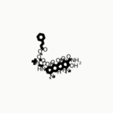 CN(C)c1cc(NC(=O)CN(C(=O)OCOC(=O)CCC2CCCCC2)C(C)(C)C)c(O)c2c1C[C@H]1C[C@H]3[C@H](N(C)C)C(O)=C(C(N)=O)C(=O)[C@@]3(O)C(O)=C1C2=O